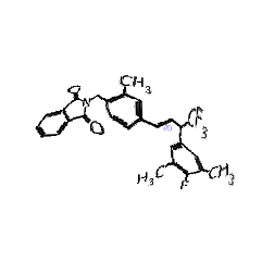 Cc1cc(/C=C/C(c2cc(C)c(F)c(C)c2)C(F)(F)F)ccc1CN1C(=O)c2ccccc2C1=O